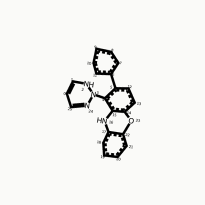 C1=CNN(c2c(-c3ccccc3)ccc3c2Nc2ccccc2O3)N=C1